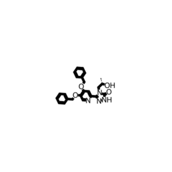 C[C@H](O)Cn1c(-c2cc(OCc3ccccc3)c(OCc3ccccc3)cn2)n[nH]c1=O